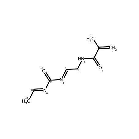 C=C(C)C(=O)NCC=NC(=O)N=CC